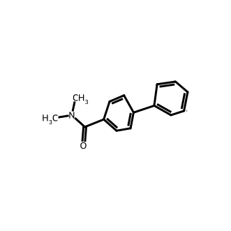 CN(C)C(=O)c1ccc(-c2c[c]ccc2)cc1